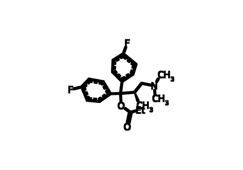 CCC(=O)OC(c1ccc(F)cc1)(c1ccc(F)cc1)[C@H](C)CN(C)C